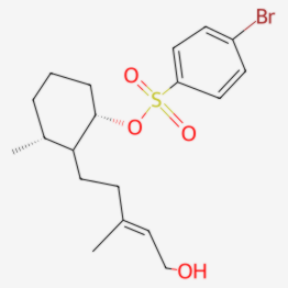 C/C(=C\CO)CCC1[C@H](C)CCC[C@@H]1OS(=O)(=O)c1ccc(Br)cc1